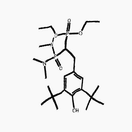 CCOP(=O)(OCC)C(Cc1cc(C(C)(C)C)c(O)c(C(C)(C)C)c1)P(=O)(N(C)C)N(C)C